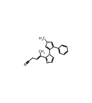 C/C(=C\CC#N)c1nccn1-c1cn(C)cc1-c1ccccc1